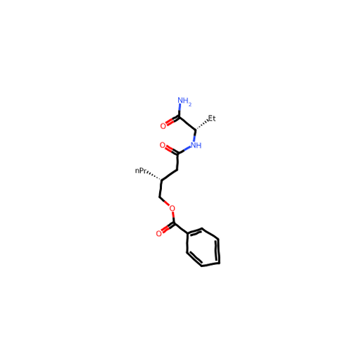 CCC[C@@H](COC(=O)c1ccccc1)CC(=O)N[C@@H](CC)C(N)=O